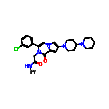 CC(C)NC(=O)Cn1c(-c2cccc(Cl)c2)cn2cc(N3CCC(N4CCCCC4)CC3)cc2c1=O